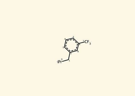 C[C](C)Cc1cccc(C(F)(F)F)c1